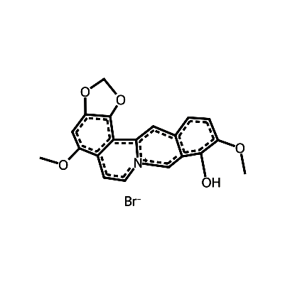 COc1ccc2cc3c4c5c(cc(OC)c4cc[n+]3cc2c1O)OCO5.[Br-]